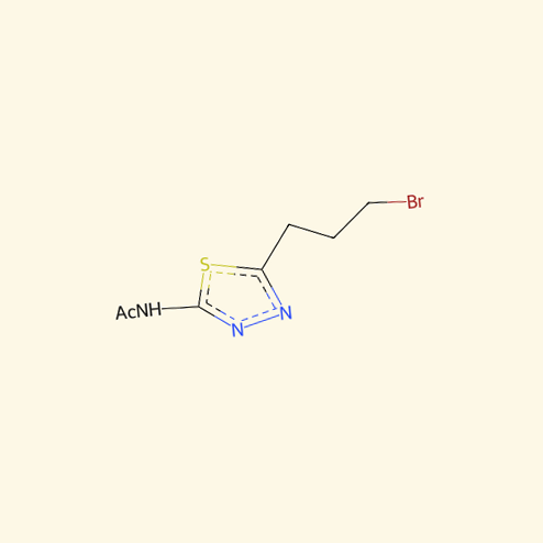 CC(=O)Nc1nnc(CCCBr)s1